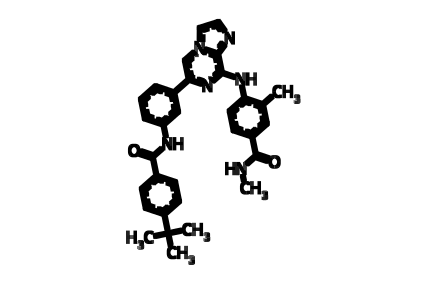 CNC(=O)c1ccc(Nc2nc(-c3cccc(NC(=O)c4ccc(C(C)(C)C)cc4)c3)cn3ccnc23)c(C)c1